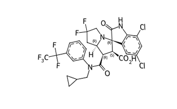 O=C(O)[C@H]1[C@@H](C(=O)N(CC2CC2)c2cccc(C(F)(F)C(F)(F)F)c2)[C@H]2CC(F)(F)CN2[C@]12C(=O)Nc1c(Cl)cc(Cl)cc12